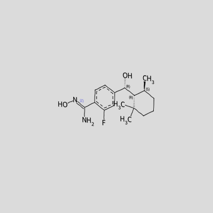 C[C@H]1CCCC(C)(C)[C@@H]1[C@@H](O)c1ccc(/C(N)=N/O)c(F)c1